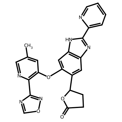 Cc1cnc(-c2ncon2)c(Oc2cc3[nH]c(-c4ccccn4)nc3cc2C2CCC(=O)O2)c1